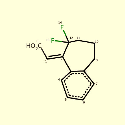 O=C(O)/C=C1/c2ccccc2CCCC1(F)F